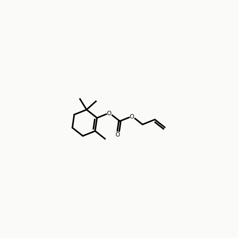 C=CCOC(=O)OC1=C(C)CCCC1(C)C